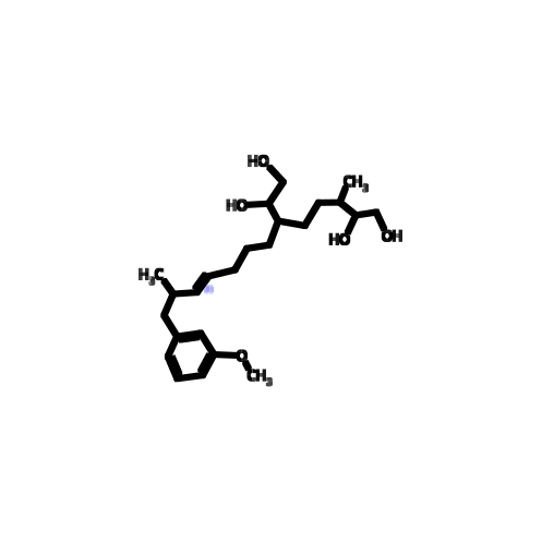 COc1cccc(CC(C)/C=C/CCCC(CCC(C)C(O)CO)C(O)CO)c1